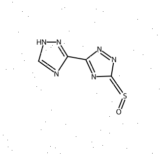 O=S=C1N=NC(c2nc[nH]n2)=N1